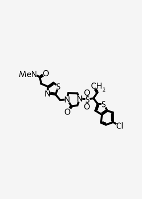 C=CC(c1cc2ccc(Cl)cc2s1)S(=O)(=O)N1CCN(Cc2nc(CC(=O)NC)cs2)C(=O)C1